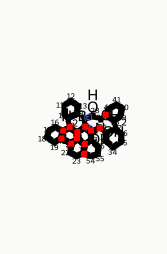 BC(/C(=C(/O)CO)c1c(-c2ccccc2)c2ccccc2c2ccccc12)=C(\O)C(=C)N(c1ccccc1-c1ccccc1)c1cc2ccccc2c2ccccc12